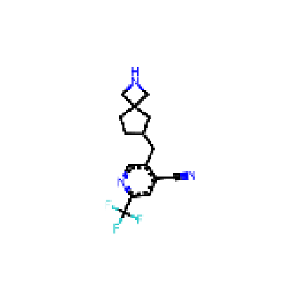 N#Cc1cc(C(F)(F)F)ncc1CC1CCC2(CNC2)C1